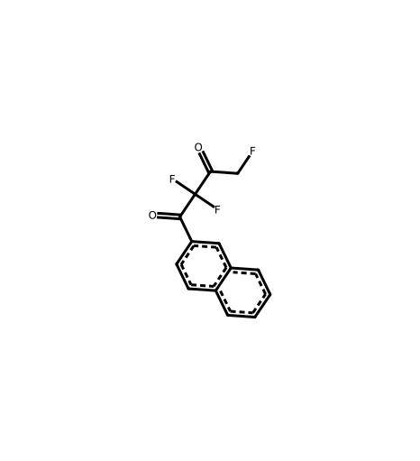 O=C(CF)C(F)(F)C(=O)c1ccc2ccccc2c1